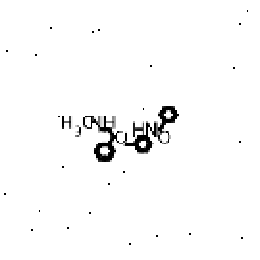 CNCCC(OCc1cccc(NC(=O)c2ccccc2)c1)c1ccccc1